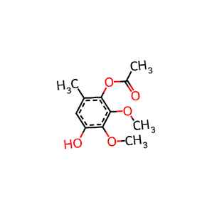 COc1c(O)cc(C)c(OC(C)=O)c1OC